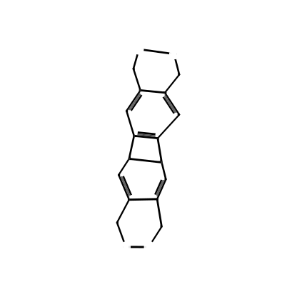 C1=C2COOCC2=CC2c3cc4c(cc3C12)COOC4